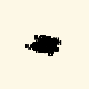 CC(=O)NC1C(O)CC(OCC2OC(Oc3cc4c(c5ccccc35)C(CCl)CN4C(=O)c3cc4cc(NC(=O)CNC(=O)OC(C)(C)C)ccc4[nH]3)C(O)C(O)C2O)(C(=O)O)OC1C(O)C(O)CO